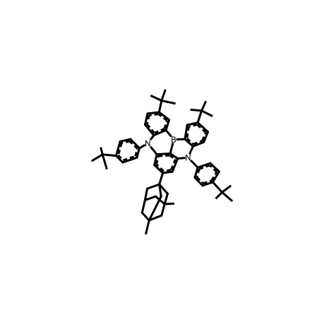 CC12CC3CC(C)(C1)CC(c1cc4c5c(c1)N(c1ccc(C(C)(C)C)cc1)c1ccc(C(C)(C)C)cc1B5c1cc(C(C)(C)C)ccc1N4c1ccc(C(C)(C)C)cc1)(C3)C2